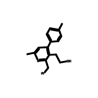 Cc1ccc(-c2cc(C)nc(CC(C)C)c2[CH]CO)cc1